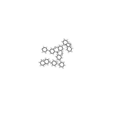 c1ccc(-c2ccc3c(c2)Oc2cc(-c4cccc5oc6ccccc6c45)cc4c2N3c2ccc(-c3ccccc3-c3ccc(-c5ccc6ccccc6c5)cc3)cc2O4)cc1